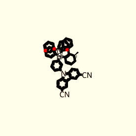 C[C@H]1CC=CC([Si](c2ccccc2)(c2ccccc2)c2cccc(-n3c4ccc(C#N)cc4c4cc(C#N)ccc43)c2)=C1c1ccccc1Nc1ccccc1